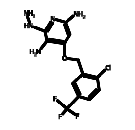 NNc1nc(N)cc(OCc2cc(C(F)(F)F)ccc2Cl)c1N